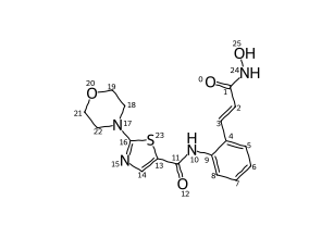 O=C(C=Cc1ccccc1NC(=O)c1cnc(N2CCOCC2)s1)NO